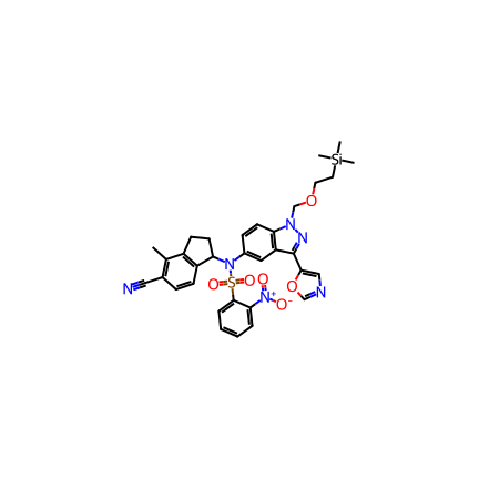 Cc1c(C#N)ccc2c1CCC2N(c1ccc2c(c1)c(-c1cnco1)nn2COCC[Si](C)(C)C)S(=O)(=O)c1ccccc1[N+](=O)[O-]